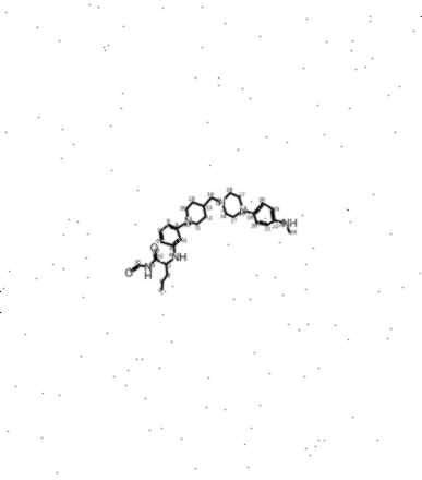 CCCC(Nc1cccc(N2CCC(CN3CCN(c4ccc(NC)cc4)CC3)CC2)c1)C(=O)NC=O